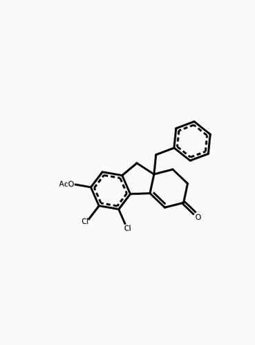 CC(=O)Oc1cc2c(c(Cl)c1Cl)C1=CC(=O)CCC1(Cc1ccccc1)C2